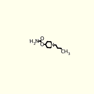 CCCCN1CCC(OC(N)=O)CC1